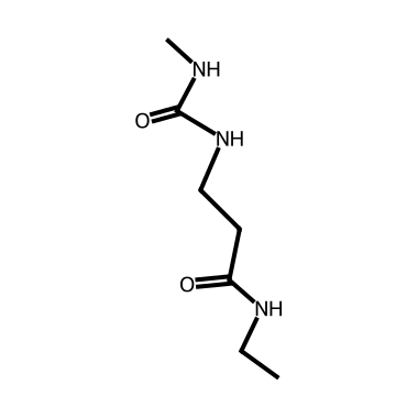 CCNC(=O)CCNC(=O)NC